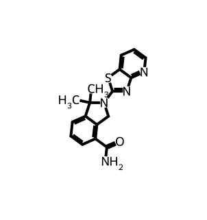 CC1(C)c2cccc(C(N)=O)c2CN1c1nc2ncccc2s1